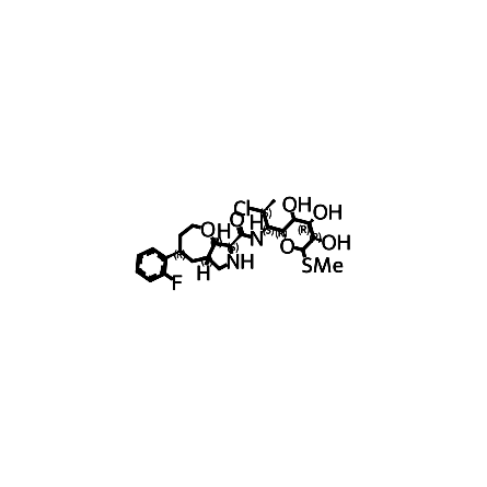 CSC1O[C@H]([C@H](NC(=O)[C@H]2NC[C@@H]3C[C@@H](c4ccccc4F)CCO[C@H]32)[C@H](C)Cl)C(O)[C@@H](O)[C@H]1O